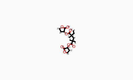 CCC(C)(CC(C)(C)C(=O)OC1CCOC1=O)C(=O)OC1CCOC1=O